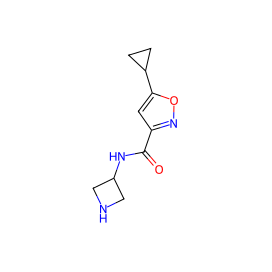 O=C(NC1CNC1)c1cc(C2CC2)on1